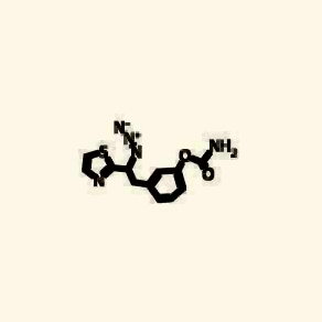 [N-]=[N+]=NC(Cc1cccc(OC(N)=O)c1)c1nccs1